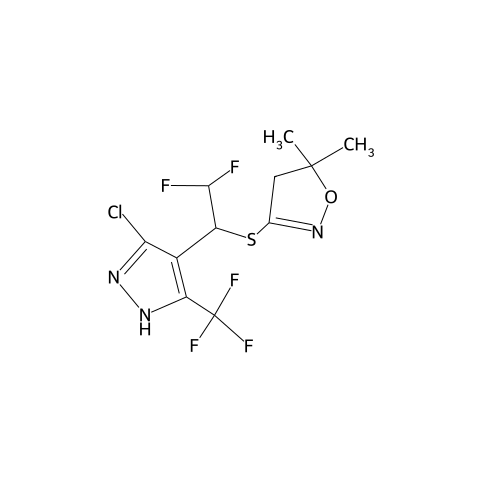 CC1(C)CC(SC(c2c(Cl)n[nH]c2C(F)(F)F)C(F)F)=NO1